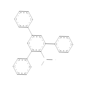 OB(O)c1c(-c2ccccc2)cc(-c2ccccc2)cc1-c1ccccc1